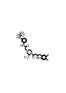 C[C]1CN(CC(=O)Nc2cccc(NS(C)(=O)=O)c2)CCN1C(=O)C[C@H](N)Cc1ccc(F)c(F)c1